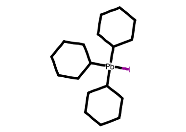 [I][Pb]([CH]1CCCCC1)([CH]1CCCCC1)[CH]1CCCCC1